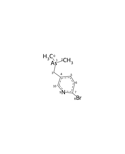 C[As](C)Cc1ccc(Br)nc1